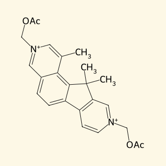 CC(=O)OC[n+]1ccc2c(c1)C(C)(C)c1c-2ccc2c[n+](COC(C)=O)cc(C)c12